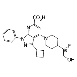 O=C(O)c1cc(N2CCC([C@H](F)CO)CC2)c2c(C3CCC3)nn(-c3ccccc3)c2n1